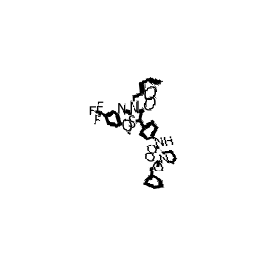 COc1ccc(C(F)(F)F)cc1/N=C1\SC(c2ccc(NC(=O)[C@@H]3CCCN3C(=O)OCc3ccccc3)cc2)C(=O)N1Cc1ccco1